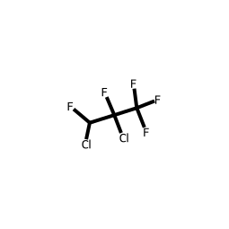 F[C](Cl)C(F)(Cl)C(F)(F)F